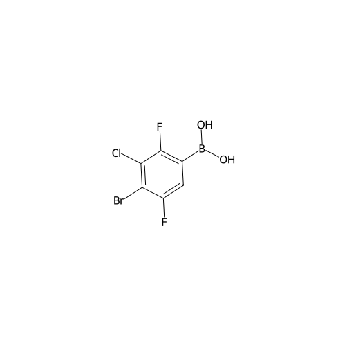 OB(O)c1cc(F)c(Br)c(Cl)c1F